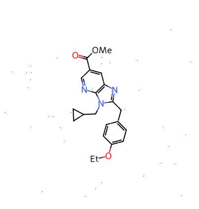 CCOc1ccc(Cc2nc3cc(C(=O)OC)cnc3n2CC2CC2)cc1